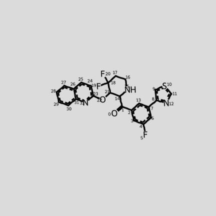 O=C(c1cc(F)cc(-c2cscn2)c1)C1NCCC(F)(F)C1Oc1ccc2ccccc2n1